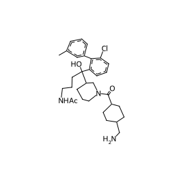 CC(=O)NCCCC(O)(c1cccc(Cl)c1-c1cccc(C)c1)C1CCCN(C(=O)C2CCC(CN)CC2)C1